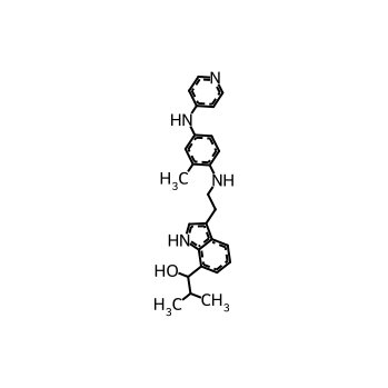 Cc1cc(Nc2ccncc2)ccc1NCCc1c[nH]c2c(C(O)C(C)C)cccc12